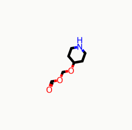 O=COCOC1CCNCC1